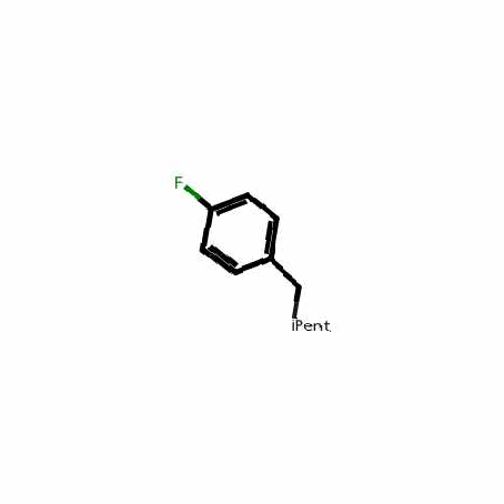 CCCC(C)Cc1ccc(F)cc1